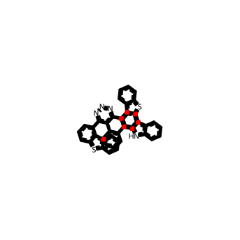 c1ccc(-c2cccc3c2[nH]c2ccccc23)c(-c2c(-c3cccc4sc5ccccc5c34)nnnc2-c2cccc3sc4ccccc4c23)c1